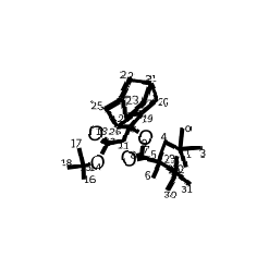 CC(C)(C)CC(C)(C(=O)OC1(CC(=O)OC(C)(C)C)C2CC3CC(C2)CC1C3)C(C)(C)C